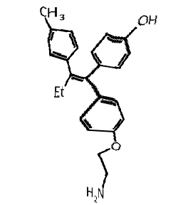 CCC(=C(c1ccc(O)cc1)c1ccc(OCCN)cc1)c1ccc(C)cc1